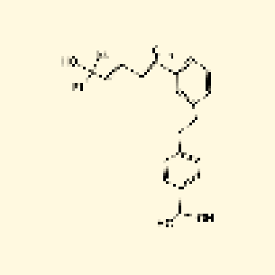 CCC(O)(C=CC=C(C)c1cccc(CCc2ccc(C(O)O)cc2)c1)CC